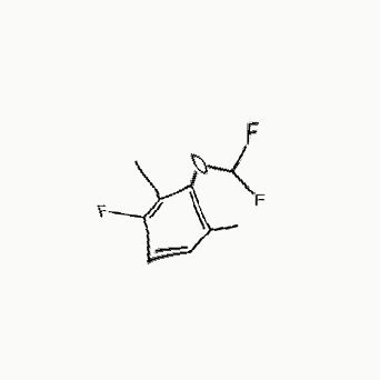 Cc1ccc(F)c(C)c1OC(F)F